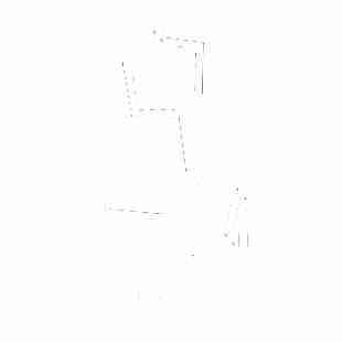 Cc1[nH]nc(-c2ccncc2)c1Cl